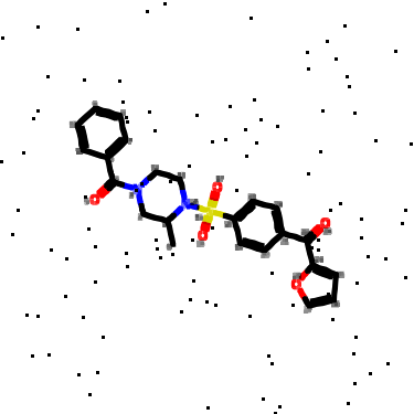 CC1CN(C(=O)c2ccccc2)CCN1S(=O)(=O)c1ccc(C(=O)c2ccco2)cc1